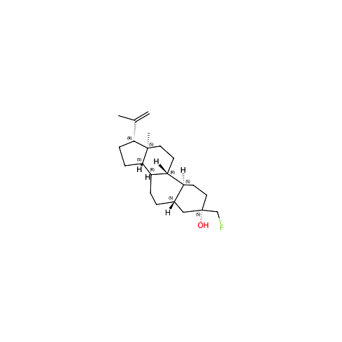 C=C(C)[C@H]1CC[C@H]2[C@@H]3CC[C@H]4C[C@](O)(CF)CC[C@@H]4[C@H]3CC[C@]12C